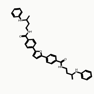 CC(CCNC(=O)c1ccc(-c2ccc(-c3ccc(C(=O)NCCC(C)Nc4ccccc4)cc3)o2)cc1)Nc1ccccc1